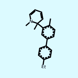 CCc1ccc(-c2ccc(C)c(C3(C)C=CC=CN3C)c2)cc1